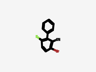 N#Cc1c(Br)ccc(F)c1-c1ccccc1